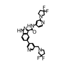 O=C(Nc1ccnc(N2CCC(F)(F)C2)c1)c1n[nH]c2ccc(-c3cncc(CN4CCC(F)(F)C4)c3)cc12